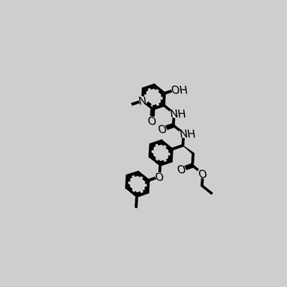 CCOC(=O)C[C@H](NC(=O)Nc1c(O)ccn(C)c1=O)c1cccc(Oc2cccc(C)c2)c1